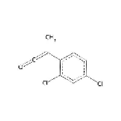 CC(=C=O)c1ccc(Cl)cc1Cl